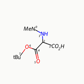 CNNC(C(=O)O)C(=O)OC(C)(C)C